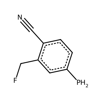 N#Cc1ccc(P)cc1CF